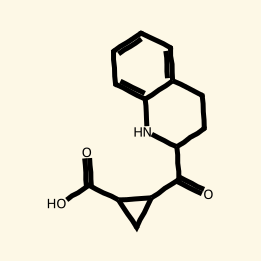 O=C(O)C1CC1C(=O)C1CCc2ccccc2N1